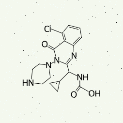 O=C(O)NC(c1nc2cccc(Cl)c2c(=O)n1N1CCNCC1)C1CC1